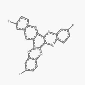 Fc1ccc2nc3c4nc5ccc(F)cc5nc4c4nc5cc(F)ccc5nc4c3nc2c1